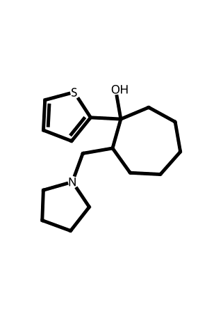 OC1(c2cccs2)CCCCCC1CN1CCCC1